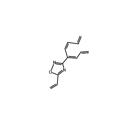 C=C/C=C\C(=C/C=C)c1noc(C=C)n1